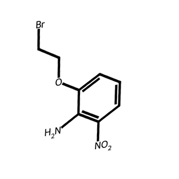 Nc1c(OCCBr)cccc1[N+](=O)[O-]